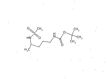 CC(CCCNC(=O)OC(C)(C)C)NS(C)(=O)=O